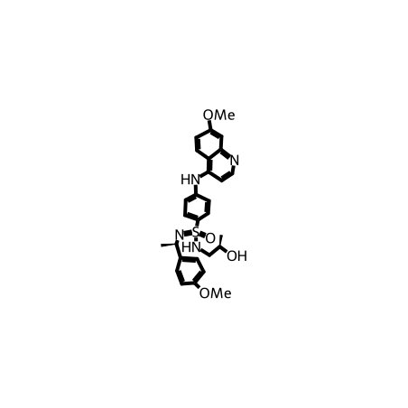 COc1ccc([C@@H](C)N=S(=O)(NC[C@@H](C)O)c2ccc(Nc3ccnc4cc(OC)ccc34)cc2)cc1